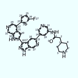 O=C(CC1CCNCC1)Nc1cncc(-c2cc3c(-c4cc5c(-c6ccc(F)s6)cncc5[nH]4)n[nH]c3cn2)c1